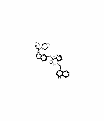 N#CN=C(N1CCOCC1)N1CCc2ccc(NC(=O)c3sccc3NCc3ccnc4ccccc34)cc21